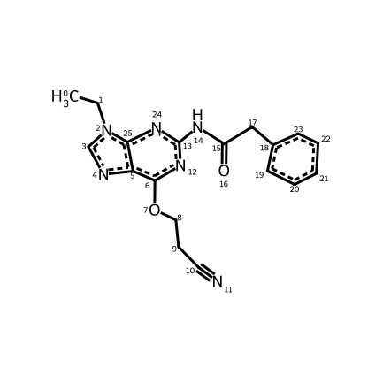 CCn1cnc2c(OCCC#N)nc(NC(=O)Cc3ccccc3)nc21